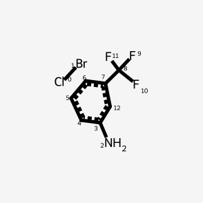 ClBr.Nc1cccc(C(F)(F)F)c1